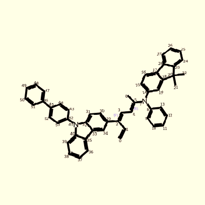 C=C/C(=C\C=C(/C)N(c1ccccc1)c1ccc2c(c1)C(C)(C)c1ccccc1-2)c1ccc2c(c1)c1ccccc1n2-c1ccc(-c2ccccc2)cc1